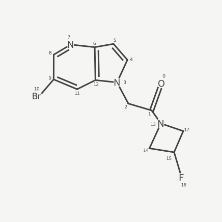 O=C(Cn1ccc2ncc(Br)cc21)N1CC(F)C1